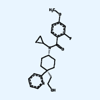 COc1ccc(C(=O)N(C2CC2)[C@H]2CC[C@](CCO)(c3ccccn3)CC2)c(F)c1